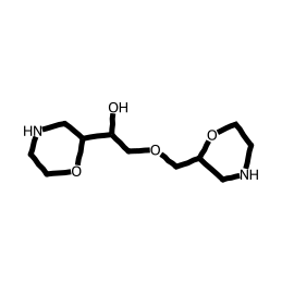 OC(COCC1CNCCO1)C1CNCCO1